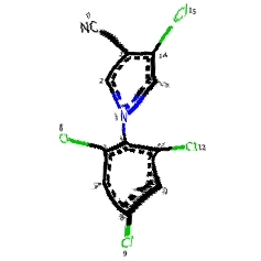 N#Cc1cn(-c2c(Cl)cc(Cl)cc2Cl)cc1Cl